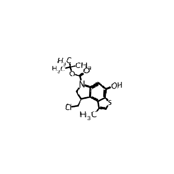 Cc1csc2c(O)cc3c(c12)[C@@H](CCl)CN3C(=O)OC(C)(C)C